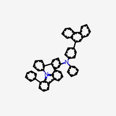 c1ccc(-c2cccc3c4ccccc4n(-c4ccccc4-c4ccc(N(c5ccccc5)c5ccc(-c6cc7ccccc7c7ccccc67)cc5)cc4)c23)cc1